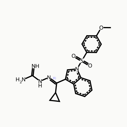 COc1ccc(S(=O)(=O)n2cc(/C(=N/NC(=N)N)C3CC3)c3ccccc32)cc1